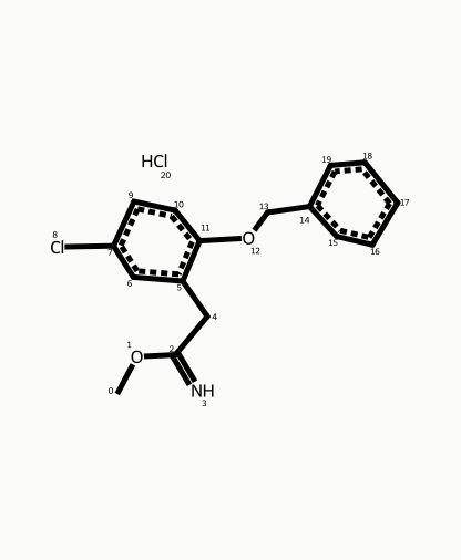 COC(=N)Cc1cc(Cl)ccc1OCc1ccccc1.Cl